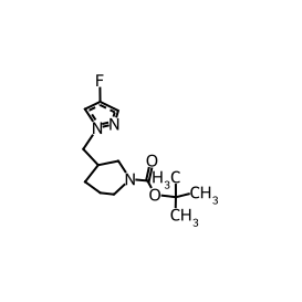 CC(C)(C)OC(=O)N1CCCC(Cn2cc(F)cn2)C1